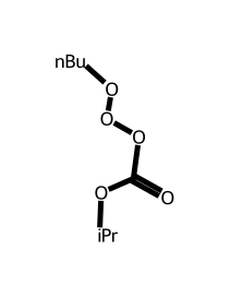 CCCCOOOC(=O)OC(C)C